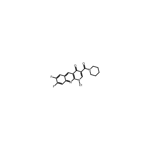 CCn1cc(C(=O)N2CCCCC2)c(=O)c2cc3cc(F)c(F)cc3nc21